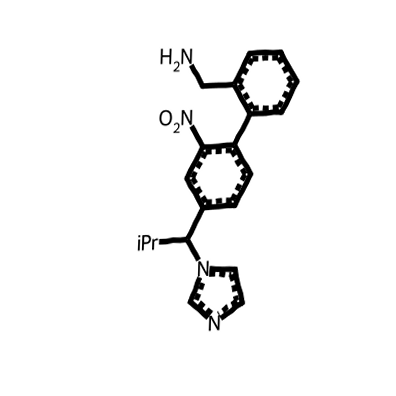 CC(C)C(c1ccc(-c2ccccc2CN)c([N+](=O)[O-])c1)n1ccnc1